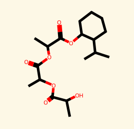 CC(O)C(=O)OC(C)C(=O)OC(C)C(=O)OC1CCCCC1C(C)C